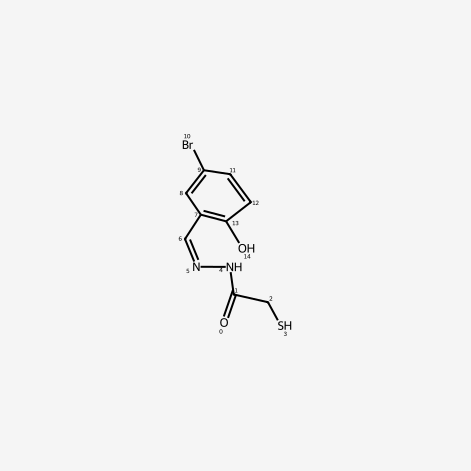 O=C(CS)N/N=C\c1cc(Br)ccc1O